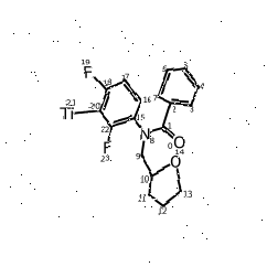 O=C(c1ccccc1)N(CC1CCCO1)c1ccc(F)[c]([Ti])c1F